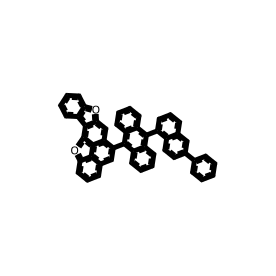 c1ccc(-c2ccc3c(-c4c5ccccc5c(-c5cc6cccc7oc8c9c(cc5c8c67)oc5ccccc59)c5ccccc45)cccc3c2)cc1